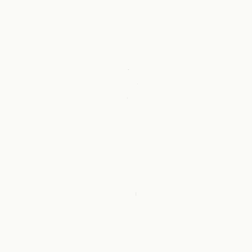 CC(C)(C)OC(=O)CCCOCCO